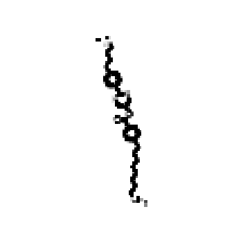 CCCCCCCCCc1ccc(C(=O)Oc2cnc(-c3ccc(CCCCC)cc3)nc2)cc1